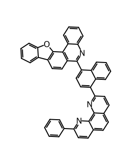 c1ccc(-c2ccc3ccc4ccc(-c5ccc(-c6nc7ccccc7c7c6ccc6c8ccccc8oc67)c6ccccc56)nc4c3n2)cc1